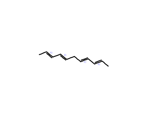 C/C=C/C=C/C/C=C/C=C/C